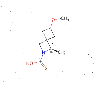 COC1CC2(C1)CN(C(O)=S)[C@@H]2C